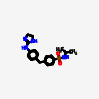 CC(C)NS(=O)(=O)c1ccc(Cc2ccc(NC3=NCCN3)cc2)cc1